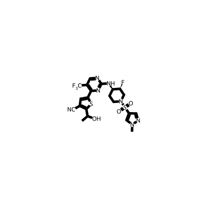 CC(O)c1sc(-c2nc(N[C@@H]3CCN(S(=O)(=O)c4cnn(C)c4)C[C@H]3F)ncc2C(F)(F)F)cc1C#N